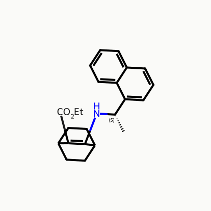 CCOC(=O)C1=C(N[C@@H](C)c2cccc3ccccc23)C2CCC1CC2